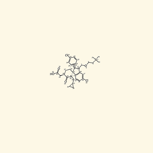 C[Si](C)(C)CCOCN1C(=O)[C@@]2(c3ccc(Cl)cc31)[C@@H](c1cccc(Cl)c1)C[C@H](CC(=O)O)C(=O)N2CC1CC1